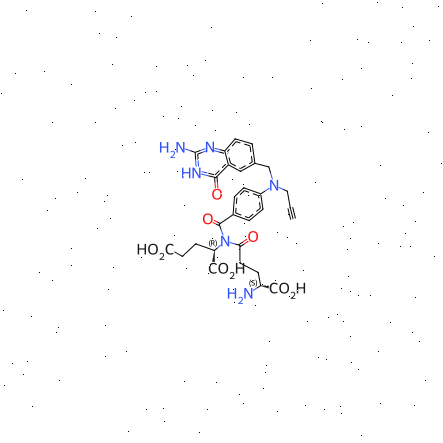 C#CCN(Cc1ccc2nc(N)[nH]c(=O)c2c1)c1ccc(C(=O)N(C(=O)CC[C@H](N)C(=O)O)[C@H](CCC(=O)O)C(=O)O)cc1